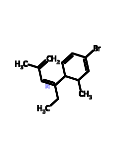 C=C(C)/C=C(/CC)C1C=CC(Br)=CC1C